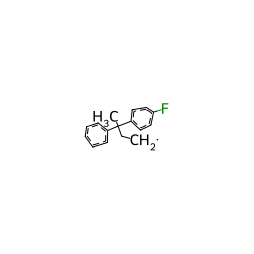 [CH2]CC(C)(c1ccccc1)c1ccc(F)cc1